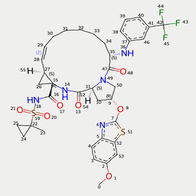 COc1ccc2nc(O[C@@H]3C[C@H]4C(=O)N[C@]5(C(=O)NS(=O)(=O)C6(C)CC6)C[C@H]5/C=C\CCCCC[C@H](Nc5cccc(C(F)(F)F)c5)C(=O)N4C3)sc2c1